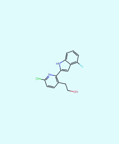 OCCc1ccc(Cl)nc1-c1cc2c(F)cccc2[nH]1